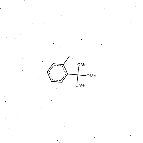 COC(OC)(OC)c1ccccc1C